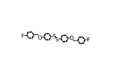 Fc1ccc(COc2ccc(SSc3ccc(OCc4ccc(F)cc4)cc3)cc2)cc1